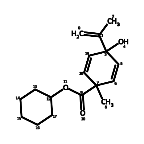 C=C(C)C1(O)C=CC(C)(C(=O)OC2CCCCC2)C=C1